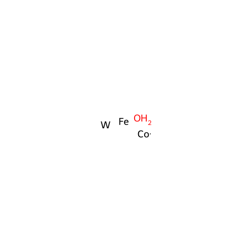 O.[Co].[Fe].[W]